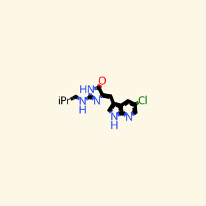 CC(C)CNC1=N/C(=C\c2c[nH]c3ncc(Cl)cc23)C(=O)N1